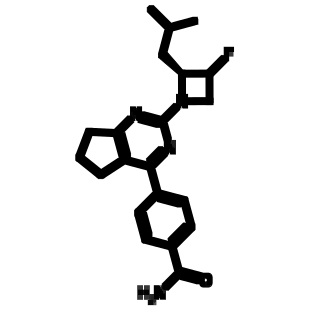 CC(C)C[C@H]1C(F)CN1c1nc2c(c(-c3ccc(C(N)=O)cc3)n1)CCC2